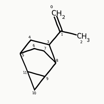 C=C(C)C1CC2CCC1C1CC21